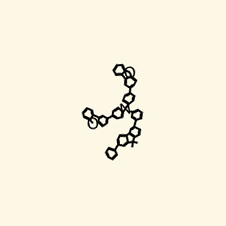 CC1(C)c2ccc(-c3cccc(N(c4ccc(-c5ccc6oc7ccccc7c6c5)cc4)c4ccc(-c5ccc6oc7ccccc7c6c5)cc4)c3)cc2-c2ccc(-c3ccccc3)cc21